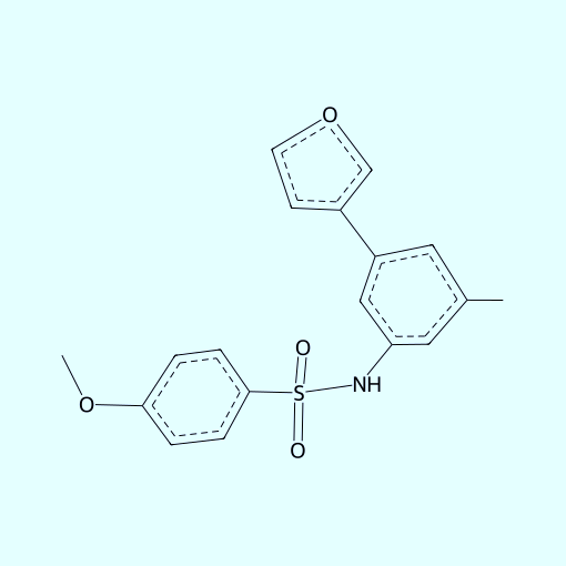 COc1ccc(S(=O)(=O)Nc2cc(C)cc(-c3ccoc3)c2)cc1